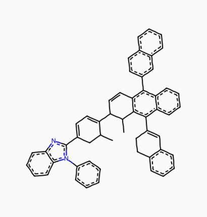 CC1CC(c2nc3ccccc3n2-c2ccccc2)=CC=C1C1C=Cc2c(c(C3=Cc4ccccc4CC3)c3ccccc3c2-c2ccc3ccccc3c2)C1C